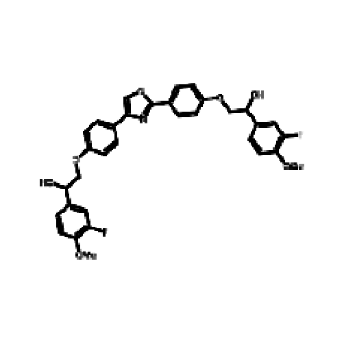 COc1ccc(C(O)COc2ccc(-c3coc(-c4ccc(OCC(O)c5ccc(OC)c(F)c5)cc4)n3)cc2)cc1F